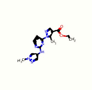 CCOC(=O)c1cnn(-c2ccnc(Nc3cnn(C)c3)n2)c1C